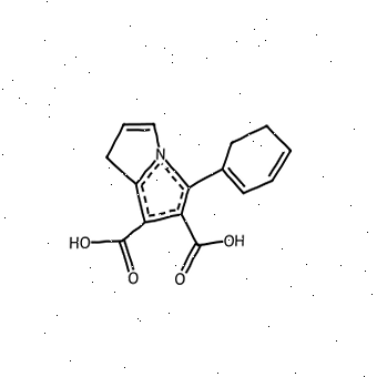 O=C(O)c1c(C(=O)O)c(C2=CC=CCC2)n2c1CC=C2